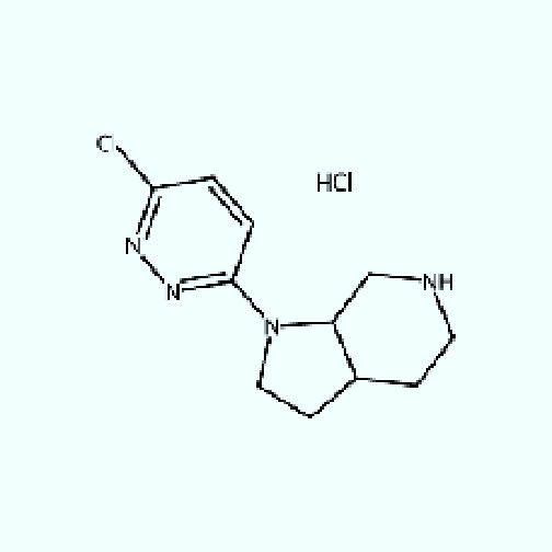 Cl.Clc1ccc(N2CCC3CCNCC32)nn1